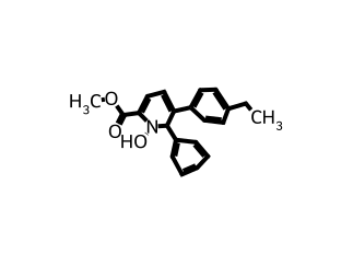 CCc1ccc(C2=CC=C(C(=O)OC)N(O)C2c2ccccc2)cc1